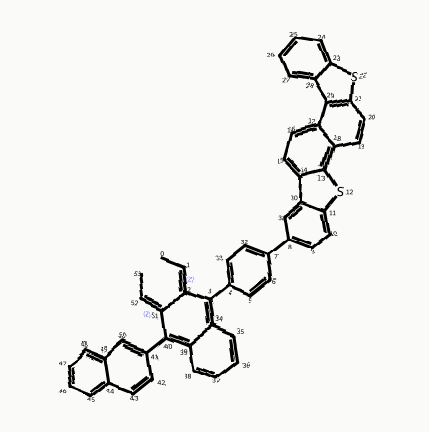 C/C=c1/c(-c2ccc(-c3ccc4sc5c(ccc6c5ccc5sc7ccccc7c56)c4c3)cc2)c2ccccc2c(-c2ccc3ccccc3c2)/c1=C/C